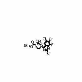 C[C@@H]1CN(c2nc(Cl)nc3c(F)c(Br)c(Cl)cc23)CCN1C(=O)OC(C)(C)C